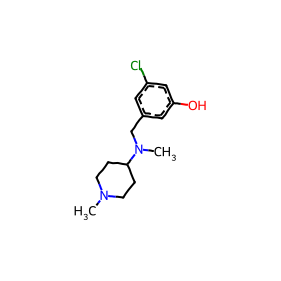 CN1CCC(N(C)Cc2cc(O)cc(Cl)c2)CC1